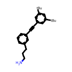 CC(C)(C)c1cc(C#Cc2cccc(CCCN)c2)cc(C(C)(C)C)c1